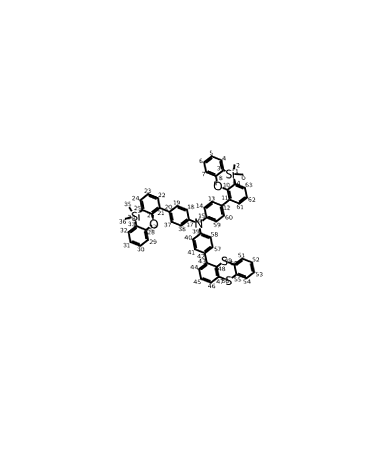 C[Si]1(C)c2ccccc2Oc2c(-c3ccc(N(c4ccc(-c5cccc6c5Oc5ccccc5[Si]6(C)C)cc4)c4ccc(-c5cccc6c5Sc5ccccc5S6)cc4)cc3)cccc21